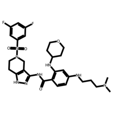 CN(C)CCCNc1ccc(C(=O)Nc2n[nH]c3c2CN(S(=O)(=O)c2cc(F)cc(F)c2)CC3)c(NC2CCOCC2)c1